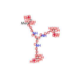 COC(OCCOCCOCCNC(=O)CCOCC(C)(COCCC(=O)NCCOCCOCCOC1OC(COP(=O)(O)O)C(O)C(O)C1O)COCCC(=O)NCCOCCOCCOC1OC(COP(=O)(O)O)C(O)C(O)C1O)C(O)C(O)C(O)C(C)COP(=O)(O)O